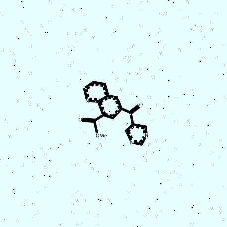 COC(=O)c1cc(C(=O)c2cncnc2)cc2cccnc12